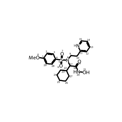 COc1ccc(S(=O)(=O)N(CCc2ccccn2)C(C(=O)NO)C2CCCCC2)cc1